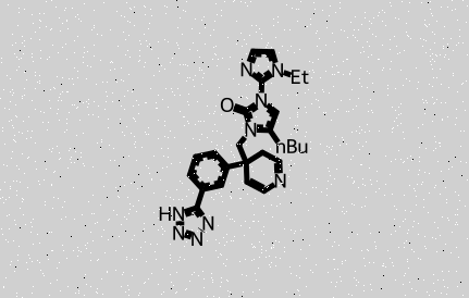 CCCCc1cn(-c2nccn2CC)c(=O)n1CC1(c2cccc(-c3nnn[nH]3)c2)C=CN=CC1